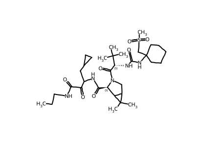 CCCNC(=O)C(=O)C(CC1CC1)NC(=O)[C@@H]1C2C(CN1C(=O)[C@@H](NC(=O)NC1(CS(C)(=O)=O)CCCCC1)C(C)(C)C)C2(C)C